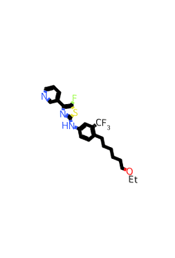 CCOCCCCCCc1ccc(Nc2nc(-c3cccnc3)c(F)s2)cc1C(F)(F)F